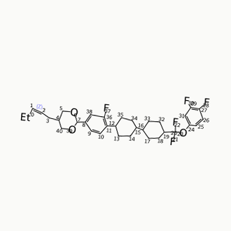 CC/C=C\CC1COC(c2ccc(C3CCC(C4CCC(C(F)(F)Oc5ccc(F)c(F)c5)CC4)CC3)c(F)c2)OC1